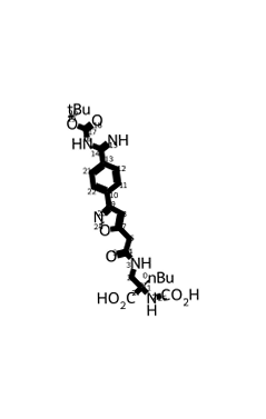 CCCC[C@](CNC(=O)Cc1cc(-c2ccc(C(=N)NC(=O)OC(C)(C)C)cc2)no1)(NC(=O)O)C(=O)O